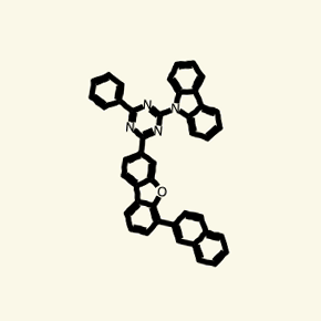 c1ccc(-c2nc(-c3ccc4c(c3)oc3c(-c5ccc6ccccc6c5)cccc34)nc(-n3c4ccccc4c4ccccc43)n2)cc1